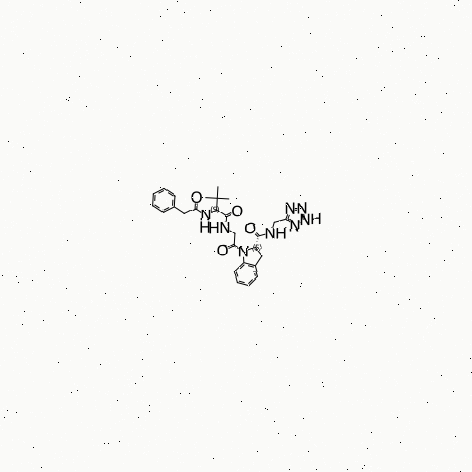 CC(C)(C)[C@H](NC(=O)Cc1ccccc1)C(=O)NCC(=O)N1c2ccccc2C[C@H]1C(=O)NCc1nn[nH]n1